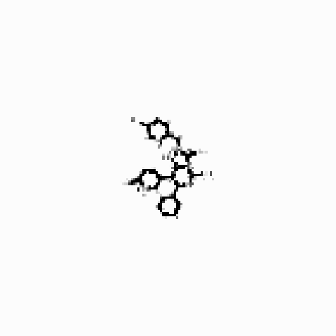 Nc1nc(-c2ccccc2)c(-c2ccc(=O)[nH]c2)c2[nH]n(Cc3ccc(F)cn3)c(=O)[n+]12